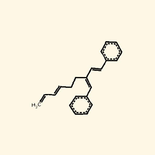 C=CC=CCCC(C=Cc1ccccc1)=Cc1ccccc1